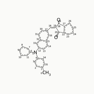 Cc1ccc(N(c2ccccc2)c2ccc3cc(C=C4C(=O)c5ccccc5C4=O)ccc3c2)cc1